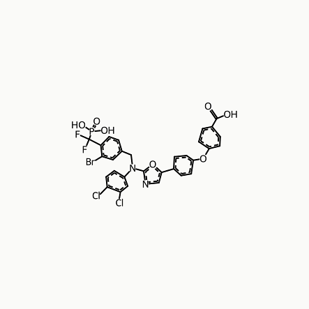 O=C(O)c1ccc(Oc2ccc(-c3cnc(N(Cc4ccc(C(F)(F)P(=O)(O)O)c(Br)c4)c4ccc(Cl)c(Cl)c4)o3)cc2)cc1